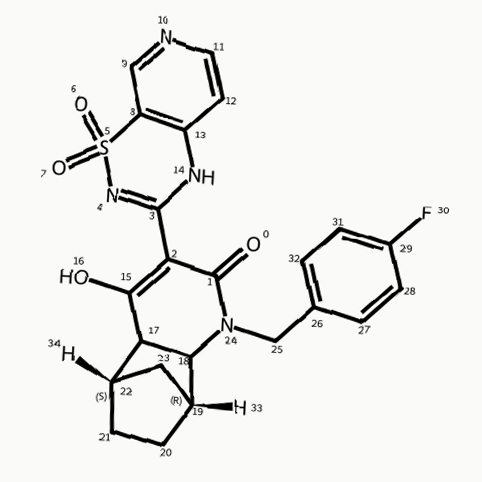 O=C1C(C2=NS(=O)(=O)c3cnccc3N2)=C(O)C2C([C@@H]3CC[C@H]2C3)N1Cc1ccc(F)cc1